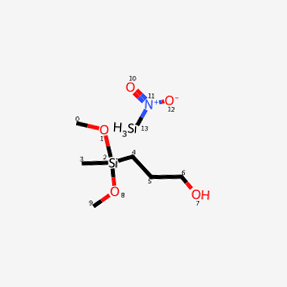 CO[Si](C)(CCCO)OC.O=[N+]([O-])[SiH3]